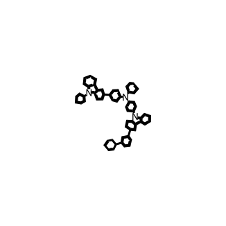 C1=CCC(c2cccc(-c3ccc4c(c3)c3ccccc3n4-c3ccc(N(c4ccccc4)c4ccc(-c5ccc6c(c5)c5ccccc5n6-c5ccccc5)cc4)cc3)c2)C=C1